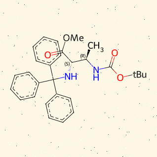 COC(=O)[C@@H](NC(c1ccccc1)(c1ccccc1)c1ccccc1)[C@@H](C)NC(=O)OC(C)(C)C